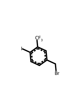 FC(F)(F)c1cc(CBr)ccc1I